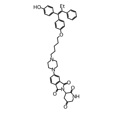 CC/C(=C(\c1ccc(O)cc1)c1ccc(OCCCCCN2CCN(c3ccc4c(c3)C(=O)N(C3CC(=O)CNC3=O)C4=O)CC2)cc1)c1ccccc1